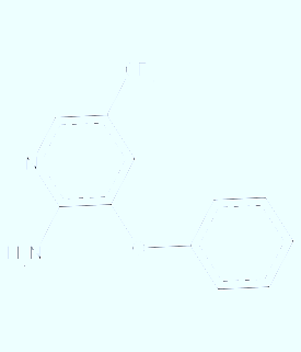 Nc1ncc(C(F)(F)F)cc1Oc1ccccc1